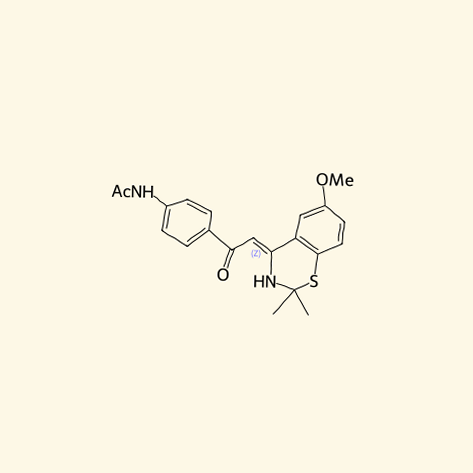 COc1ccc2c(c1)/C(=C/C(=O)c1ccc(NC(C)=O)cc1)NC(C)(C)S2